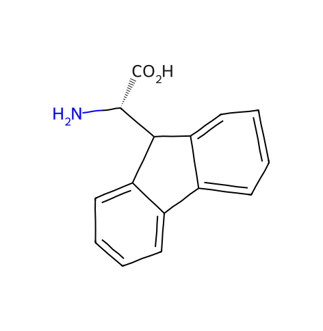 N[C@H](C(=O)O)C1c2ccccc2-c2ccccc21